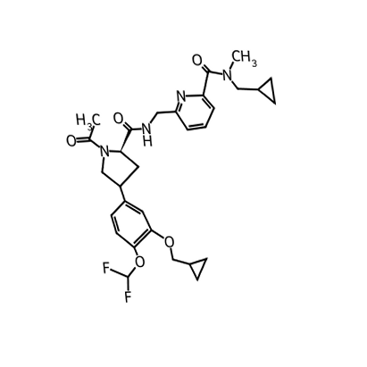 CC(=O)N1CC(c2ccc(OC(F)F)c(OCC3CC3)c2)C[C@@H]1C(=O)NCc1cccc(C(=O)N(C)CC2CC2)n1